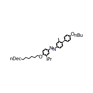 CCCCCCCCCCCCCCCCOc1ccc(/N=N/c2ccc(-c3ccc(OCCCC)cc3)c(C)c2)cc1C(C)C